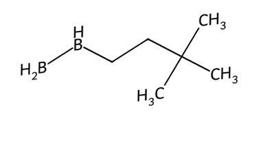 BBCCC(C)(C)C